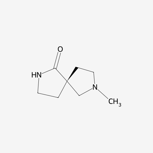 CN1CC[C@]2(CCNC2=O)C1